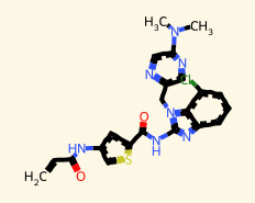 C=CC(=O)Nc1csc(C(=O)Nc2nc3cccc(Cl)c3n2Cc2cnc(N(C)C)cn2)c1